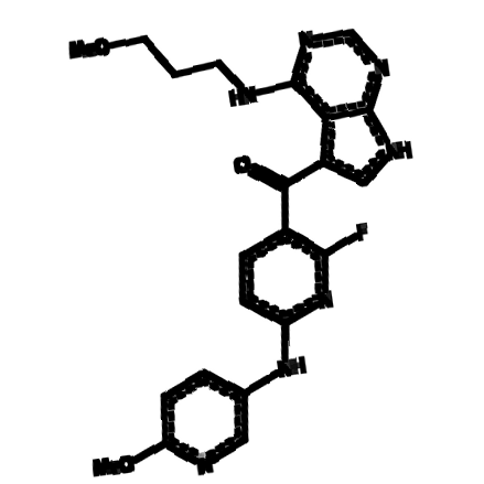 COCCCNc1ncnc2[nH]cc(C(=O)c3ccc(Nc4ccc(OC)nc4)nc3F)c12